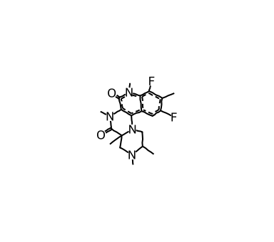 Cc1c(F)cc2c3c(c(=O)n(C)c2c1F)N(C)C(=O)C1(C)CN(C)C(C)CN31